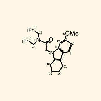 COc1ccc2c3c(n(CC(=O)N(CC(C)C)CC(C)C)c2c1)CCCC3